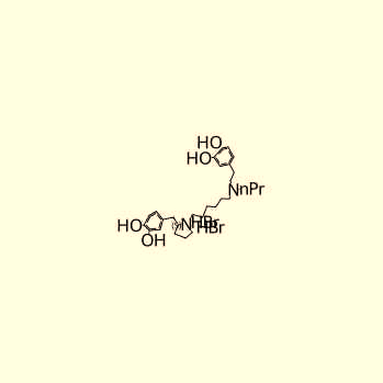 Br.Br.CCCN(CCCCCCN1CCC[C@H]1Cc1ccc(O)c(O)c1)CCc1ccc(O)c(O)c1